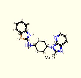 COc1nc2cccnc2n1C1CCC(Nc2nc3ccccc3s2)CC1